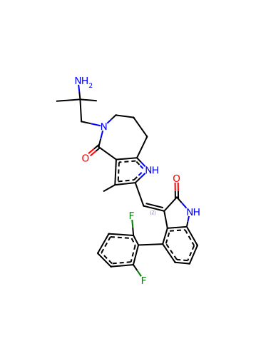 Cc1c(/C=C2\C(=O)Nc3cccc(-c4c(F)cccc4F)c32)[nH]c2c1C(=O)N(CC(C)(C)N)CCC2